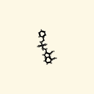 O=S(=O)(OCc1ccccc1)OCc1sc2cccc(F)c2c1F